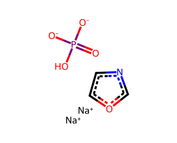 O=P([O-])([O-])O.[Na+].[Na+].c1cocn1